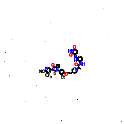 CCc1cc(N2C(=S)N(c3cnc(C#N)c(C(F)(F)F)c3)C(=O)C23CCC3)ccc1OCCC1CCN(C(C)C(=O)Nc2cccc(NC3CCC(=O)NC3=O)c2)CC1